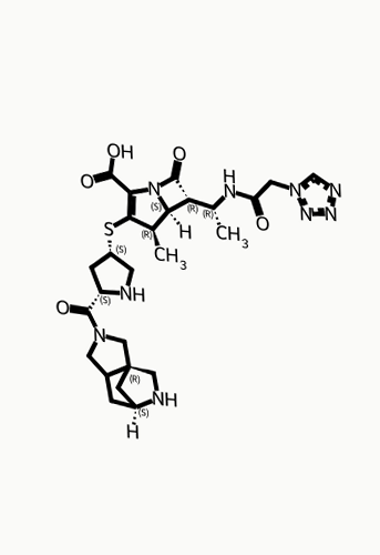 C[C@@H](NC(=O)Cn1cnnn1)[C@H]1C(=O)N2C(C(=O)O)=C(S[C@@H]3CN[C@H](C(=O)N4CC5C[C@H]6C[C@@]5(CN6)C4)C3)[C@H](C)[C@H]12